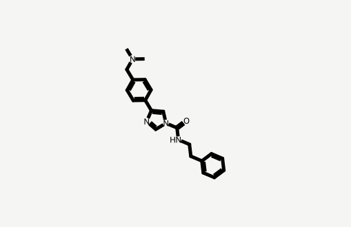 CN(C)Cc1ccc(-c2cn(C(=O)NCCc3ccccc3)cn2)cc1